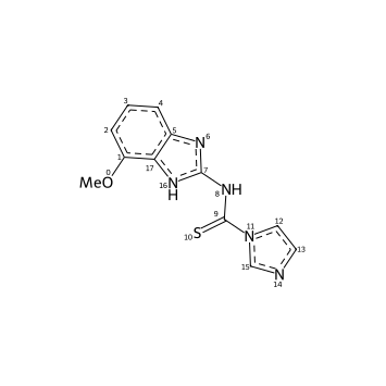 COc1cccc2nc(NC(=S)n3ccnc3)[nH]c12